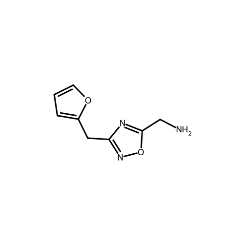 NCc1nc(Cc2ccco2)no1